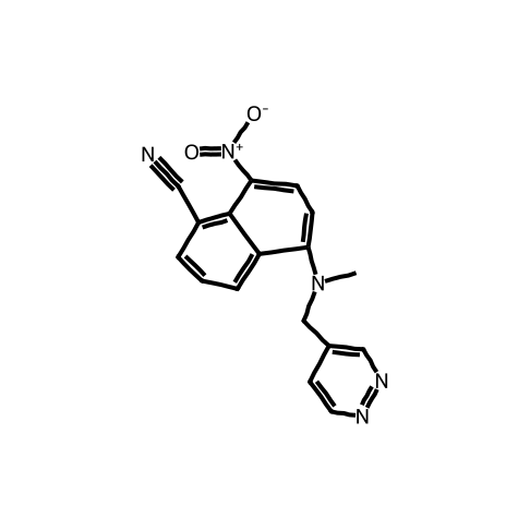 CN(Cc1ccnnc1)c1ccc([N+](=O)[O-])c2c(C#N)cccc12